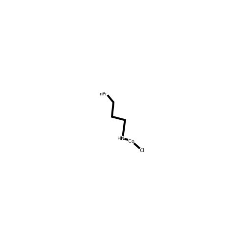 CCCCCC[NH][Co][Cl]